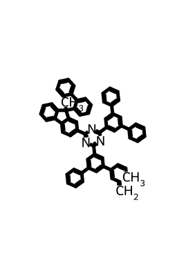 C=C/C=C(\C=C/C)c1cc(-c2ccccc2)cc(-c2nc(-c3cc(-c4ccccc4)cc(-c4ccccc4)c3)nc(-c3ccc4c(c3)C(C)(c3ccccc3-c3ccccc3)c3ccccc3-4)n2)c1